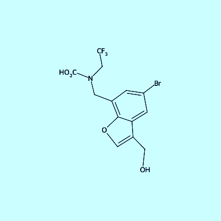 O=C(O)N(Cc1cc(Br)cc2c(CO)coc12)CC(F)(F)F